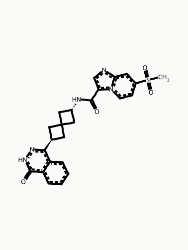 CS(=O)(=O)c1ccn2c(C(=O)N[C@H]3CC4(C3)C[C@H](c3n[nH]c(=O)c5ccccc53)C4)cnc2c1